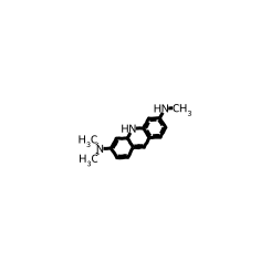 CNc1ccc2c(c1)NC1C=C(N(C)C)C=CC1=C2